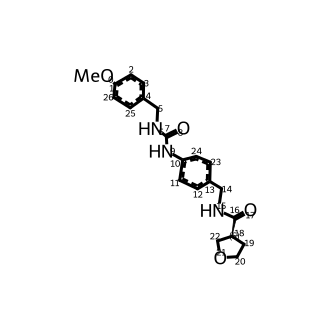 COc1ccc(CNC(=O)Nc2ccc(CNC(=O)[C@H]3CCOC3)cc2)cc1